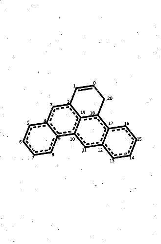 C1=Cc2cc3ccccc3c3cc4ccccc4c(c23)C1